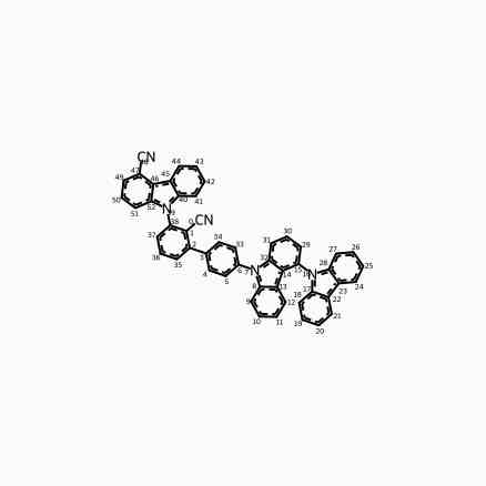 N#Cc1c(-c2ccc(-n3c4ccccc4c4c(-n5c6ccccc6c6ccccc65)cccc43)cc2)cccc1-n1c2ccccc2c2c(C#N)cccc21